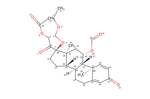 CCOCO[C@]1(C(=O)COC(C)=O)CC[C@H]2[C@@H]3CCC4=CC(=O)C=C[C@]4(C)[C@H]3[C@@H](OC=O)C[C@@]21C